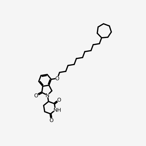 O=C1CCC(N2Cc3c(OCCCCCCCCCCC4CCCCCC4)cccc3C2=O)C(=O)N1